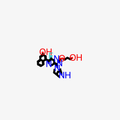 OCCCOc1nc(N2CCC3CNC(C3)C2)c2cnc(-c3cc(O)cc4ccccc34)c(F)c2n1